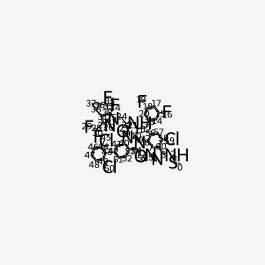 CSNc1nn(C)c2c(-n3c(C(Cc4cc(F)cc(F)c4)NC(=O)Cn4nc(C(F)F)c5c4C(F)(F)C4CC54)nc4cc(-c5c(Cl)cccc5Cl)ccc4c3=O)ccc(Cl)c12